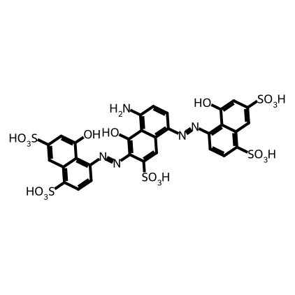 Nc1ccc(N=Nc2ccc(S(=O)(=O)O)c3cc(S(=O)(=O)O)cc(O)c23)c2cc(S(=O)(=O)O)c(N=Nc3ccc(S(=O)(=O)O)c4cc(S(=O)(=O)O)cc(O)c34)c(O)c12